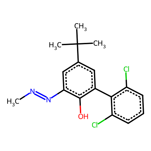 C/N=N/c1cc(C(C)(C)C)cc(-c2c(Cl)cccc2Cl)c1O